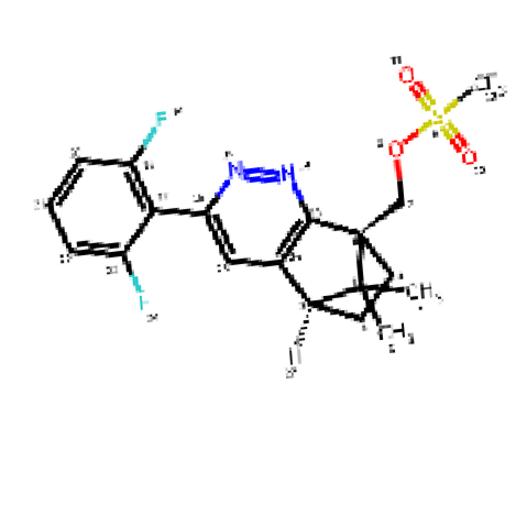 CC1(C)[C@H]2CC[C@@]1(COS(=O)(=O)C(F)(F)F)c1nnc(-c3c(F)cccc3F)cc12